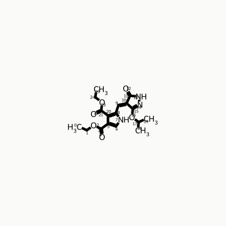 CCOC(=O)c1c[nH]c(/C=C2/C(=O)NN=C2OC(C)C)c1C(=O)OCC